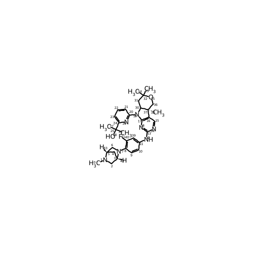 CN1C[C@@H]2C[C@H]1CN2c1ccc(Nc2ncc3c(n2)N(c2cccc(C(C)(C)O)n2)C2CC(C)(C)OC[C@@]32C)cc1F